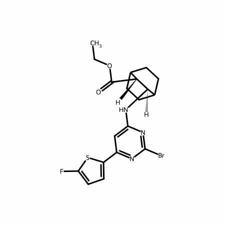 CCOC(=O)[C@@H]1C2CCC(CC2)[C@H]1Nc1cc(-c2ccc(F)s2)nc(Br)n1